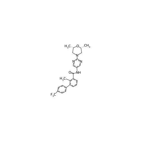 Cc1c(C(=O)Nc2cnc(N3C[C@@H](C)O[C@@H](C)C3)nc2)cccc1-c1ccc(C(F)(F)F)cc1